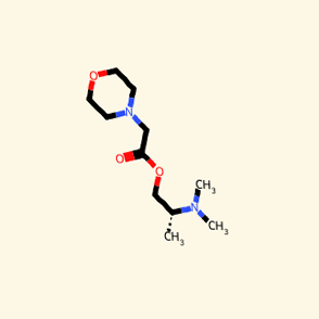 C[C@H](COC(=O)CN1CCOCC1)N(C)C